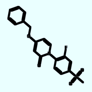 CS(=O)(=O)c1ccc(-n2ccc(OCc3ccccc3)cc2=O)c(F)c1